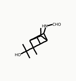 CC1C2C(NC=O)C3C1C(C)(C(C)(C)O)C23